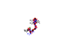 CCOc1cc(N2CCC(C(=O)N3CCC(COc4ccc(Nc5cc(-n6nc(C(F)(F)F)c7c6CC(C)(C)CC7=O)ccc5C(N)=O)cc4)CC3)CC2)ccc1N(CC)c1ncc2c(n1)N(S(C)(=O)=O)c1ccccc1C(=O)N2C